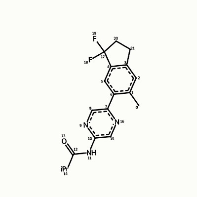 Cc1cc2c(cc1-c1cnc(NC(=O)C(C)C)cn1)C(F)(F)CC2